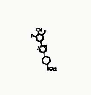 CCCCCCCC[C@H]1CC[C@H](c2cnc(-c3cc(F)c(C#N)c(F)c3)nc2)CC1